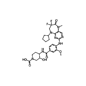 COc1cc(C(=O)NC2CCN(C(=O)O)CC2O)ccc1Nc1ncc2c(n1)N(C1CCCC1)CC(F)(F)C(=O)N2C